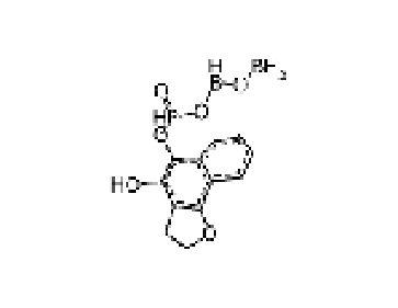 BOBO[PH](=O)Oc1c(O)c2c(c3ccccc13)OCC2